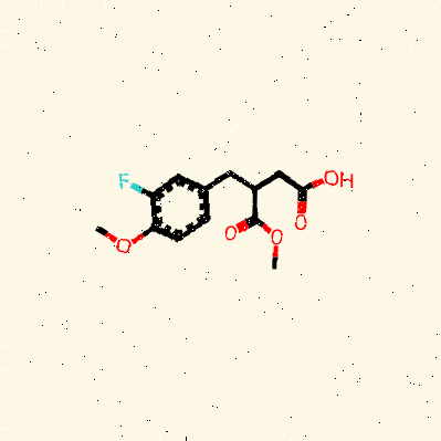 COC(=O)C(CC(=O)O)Cc1ccc(OC)c(F)c1